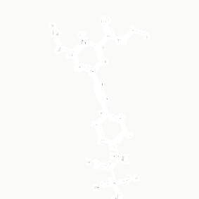 CCOC(=O)c1cc(C#Cc2ccc(NC(=O)C(F)(F)F)cc2)cc(CBr)n1